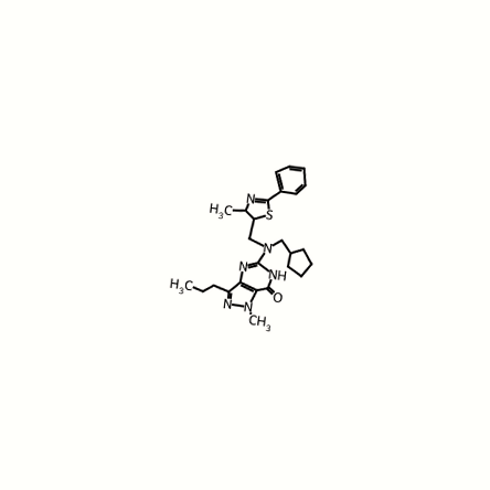 CCCc1nn(C)c2c(=O)[nH]c(N(CC3CCCC3)CC3SC(c4ccccc4)=NC3C)nc12